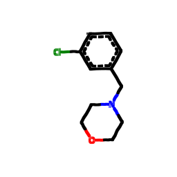 Clc1[c]ccc(CN2CCOCC2)c1